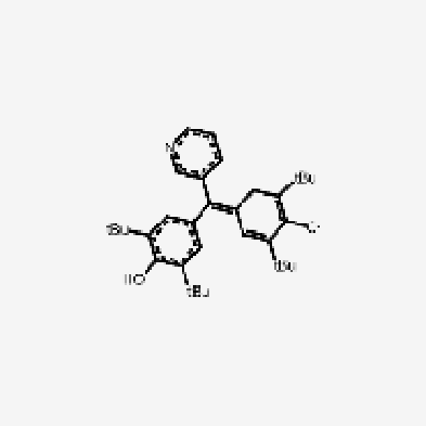 CC(C)(C)C1=CC(=C(c2cccnc2)c2cc(C(C)(C)C)c(O)c(C(C)(C)C)c2)CC(C(C)(C)C)=C1[O]